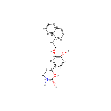 COc1ccc(C2CCN(C)C(=O)O2)cc1OCCc1cccc2ccccc12